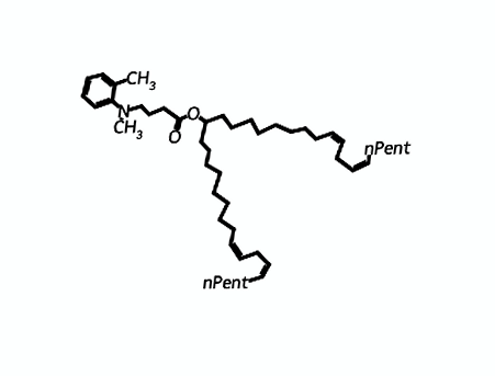 CCCCC/C=C\C/C=C\CCCCCCCCC(CCCCCCCC/C=C\C/C=C\CCCCC)OC(=O)CCCN(C)c1ccccc1C